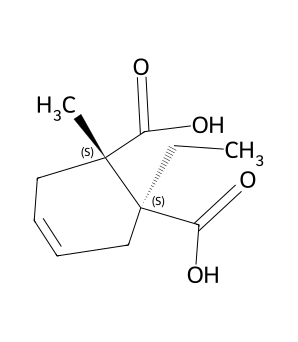 CC[C@]1(C(=O)O)CC=CC[C@]1(C)C(=O)O